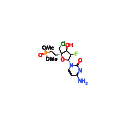 COP(=O)(CC[C@@]1(CCl)O[C@@H](n2ccc(N)nc2=O)[C@H](F)[C@@H]1O)OC